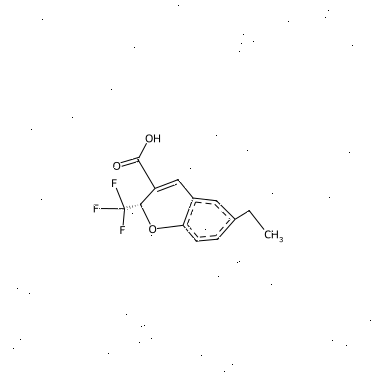 CCc1ccc2c(c1)C=C(C(=O)O)[C@@H](C(F)(F)F)O2